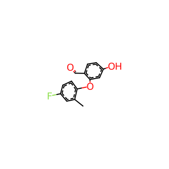 Cc1cc(F)ccc1Oc1cc(O)ccc1C=O